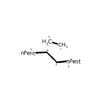 CC.CCCCCCCCCCCC